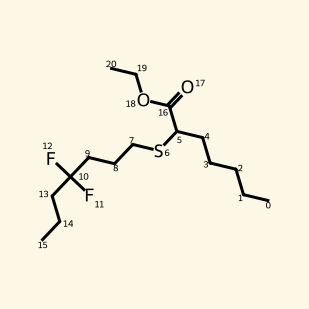 CCCCCC(SCCCC(F)(F)CCC)C(=O)OCC